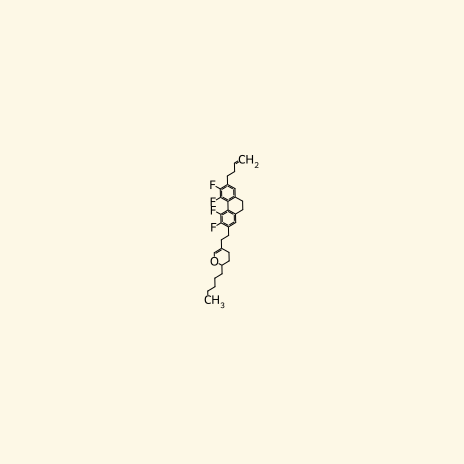 C=CCCc1cc2c(c(F)c1F)-c1c(cc(CCC3=COC(CCCCC)CC3)c(F)c1F)CC2